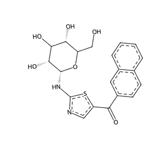 O=C(c1ccc2ccccc2c1)c1cnc(N[C@H]2OC(CO)[C@@H](O)C(O)[C@H]2O)s1